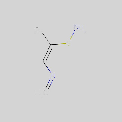 C=N/C=C(/CC)SN